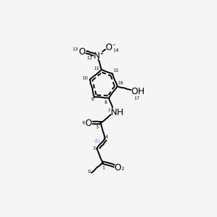 CC(=O)/C=C/C(=O)Nc1ccc([N+](=O)[O-])cc1O